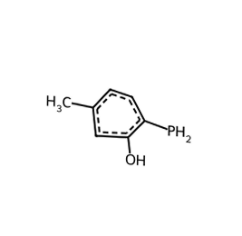 Cc1ccc(P)c(O)c1